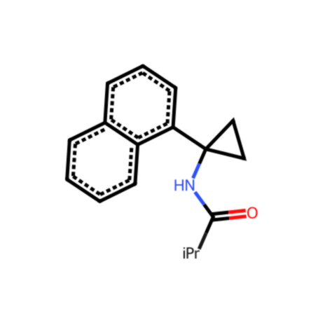 CC(C)C(=O)NC1(c2cccc3ccccc23)CC1